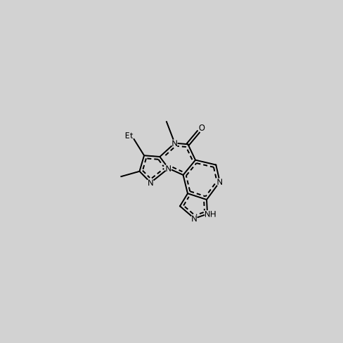 CCc1c(C)nn2c3c(cnc4[nH]ncc43)c(=O)n(C)c12